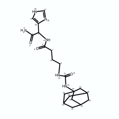 NC(=O)C(NC(=O)CCCNC(=O)NC12CC3CC(CC(C3)C1)C2)c1c[nH]cn1